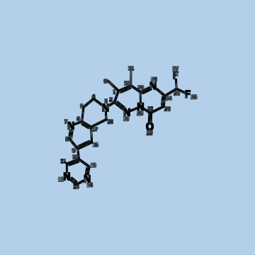 Cc1c(N2CCc3ncc(-c4cncnc4)cc3C2)nn2c(=O)cc(C(F)F)nc2c1C